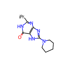 CC(C)c1nc2nc(N3CCCCC3)[nH]c2c(=O)[nH]1